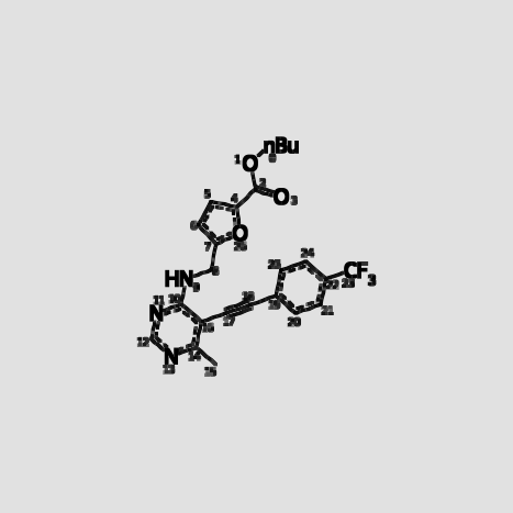 CCCCOC(=O)c1ccc(CNc2ncnc(C)c2C#Cc2ccc(C(F)(F)F)cc2)o1